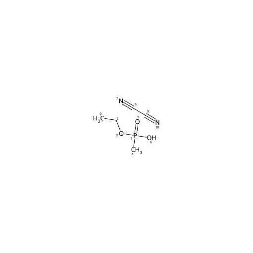 CCOP(C)(=O)O.N#CC#N